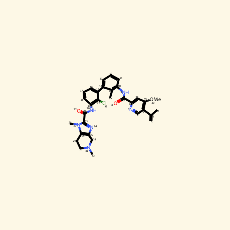 C=C(C)c1cnc(C(=O)Nc2cccc(-c3cccc(NC(=O)c4nc5c(n4C)CCN(C)C5)c3Cl)c2C)cc1OC